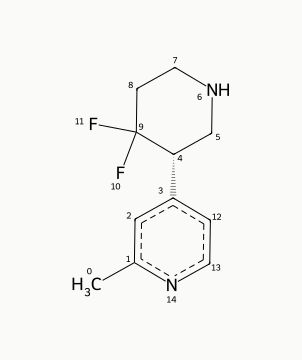 Cc1cc([C@H]2CNCCC2(F)F)ccn1